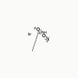 CCCCCCCCCCCCCCOc1cc(C(C)(C)C)ccc1CC(=O)Nc1cccc(C[n+]2ccsc2C)c1.[Br-]